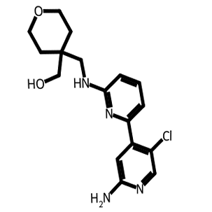 Nc1cc(-c2cccc(NCC3(CO)CCOCC3)n2)c(Cl)cn1